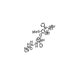 CCCCC1(CC)CN(c2ccccc2)c2cc(SC)c(OCC(=O)N[C@@H](C(=O)NCCNC(=O)Nc3ncccn3)c3ccccc3)cc2S(=O)(=O)C1